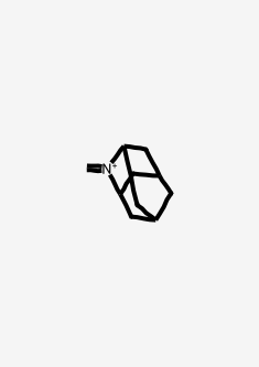 C=[N+]1C2CC3CC(C2)CC1C3